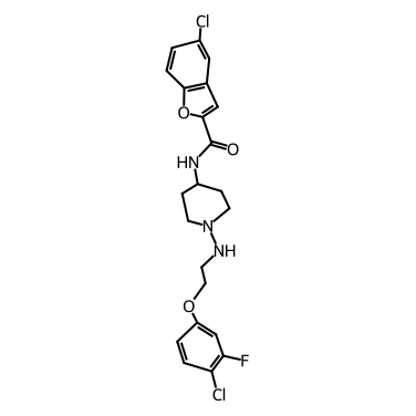 O=C(NC1CCN(NCCOc2ccc(Cl)c(F)c2)CC1)c1cc2cc(Cl)ccc2o1